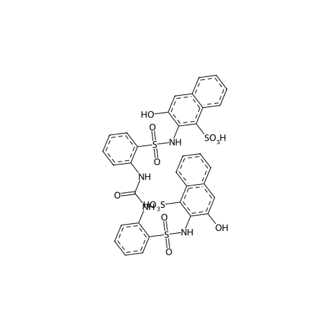 O=C(Nc1ccccc1S(=O)(=O)Nc1c(O)cc2ccccc2c1S(=O)(=O)O)Nc1ccccc1S(=O)(=O)Nc1c(O)cc2ccccc2c1S(=O)(=O)O